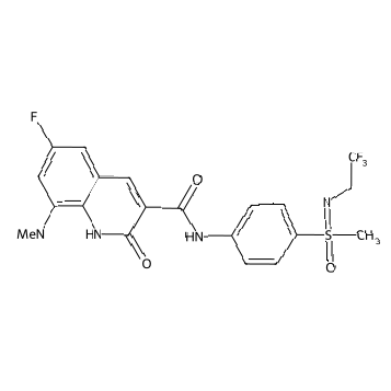 CNc1cc(F)cc2cc(C(=O)Nc3ccc(S(C)(=O)=NCC(F)(F)F)cc3)c(=O)[nH]c12